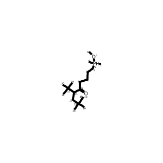 CO[PH](C)(C)CCCCC(=O)C(CC(C)(C)C)C(C)(C)C